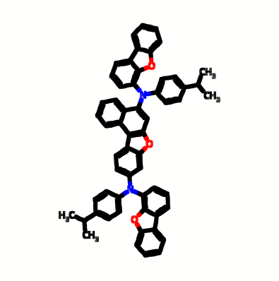 CC(C)c1ccc(N(c2ccc3c(c2)oc2cc(N(c4ccc(C(C)C)cc4)c4cccc5c4oc4ccccc45)c4ccccc4c23)c2cccc3c2oc2ccccc23)cc1